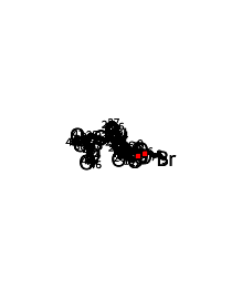 CC[C@@]1(OC(=O)CCCBr)C(=O)OCc2c1cc1n(c2=O)Cc2c-1nc1ccccc1c2COC1C=C[C@H](OC(C)=O)C(COC(C)=O)O1